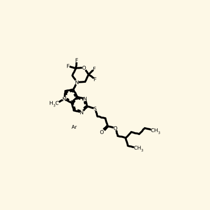 CCCCC(CC)COC(=O)CCSc1ncc2c(n1)c(N1CC(F)(F)OC(F)(F)C1)cn2C.[Ar]